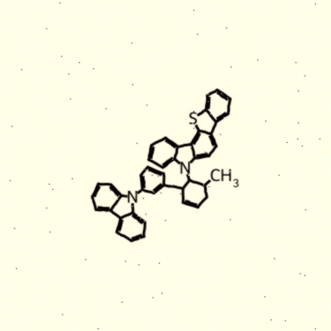 CC1CC=CC(c2cccc(-n3c4ccccc4c4ccccc43)c2)C1n1c2ccccc2c2c3sc4ccccc4c3ccc21